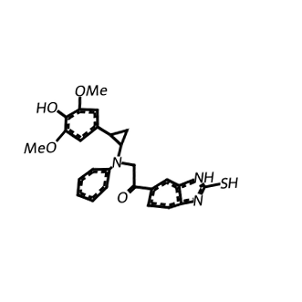 COc1cc(C2CC2N(CC(=O)c2ccc3nc(S)[nH]c3c2)c2ccccc2)cc(OC)c1O